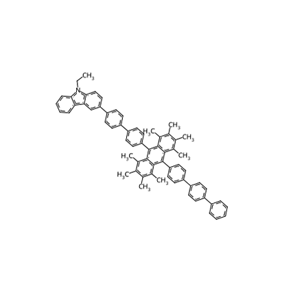 CCn1c2ccccc2c2cc(-c3ccc(-c4ccc(-c5c6c(C)c(C)c(C)c(C)c6c(-c6ccc(-c7ccc(-c8ccccc8)cc7)cc6)c6c(C)c(C)c(C)c(C)c56)cc4)cc3)ccc21